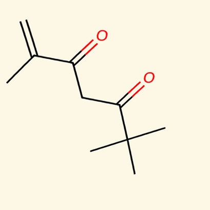 C=C(C)C(=O)CC(=O)C(C)(C)C